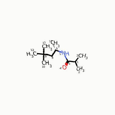 CC(C)C(=O)N[C@@H](C)CC(C)(C)C